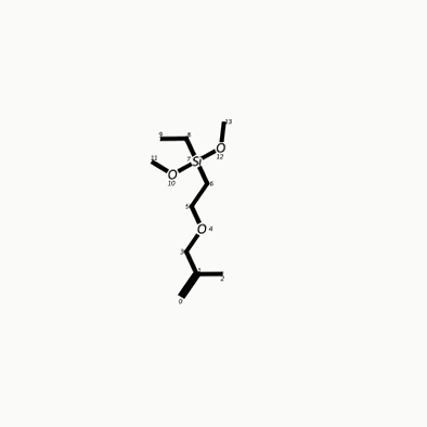 C=C(C)COCC[Si](CC)(OC)OC